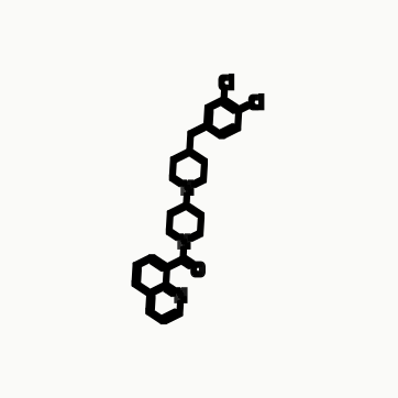 O=C(c1cccc2cccnc12)N1CCC(N2CCC(Cc3ccc(Cl)c(Cl)c3)CC2)CC1